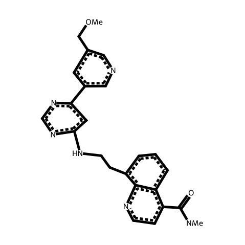 CNC(=O)c1ccnc2c(CCNc3cc(-c4cncc(COC)c4)ncn3)cccc12